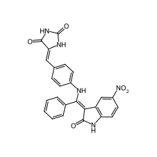 O=C1NC(=O)/C(=C/c2ccc(NC(=C3C(=O)Nc4ccc([N+](=O)[O-])cc43)c3ccccc3)cc2)N1